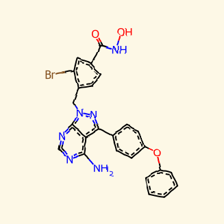 Nc1ncnc2c1c(-c1ccc(Oc3ccccc3)cc1)nn2Cc1ccc(C(=O)NO)cc1Br